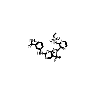 CCS(=O)(=O)Nc1nccnc1CNc1nc(Nc2cccc(C(N)=O)c2)ncc1C(F)(F)F